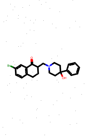 O=C1c2cc(Br)ccc2CCC1CN1CCC(O)(c2ccccc2)CC1